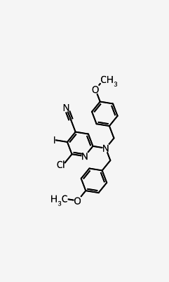 COc1ccc(CN(Cc2ccc(OC)cc2)c2cc(C#N)c(I)c(Cl)n2)cc1